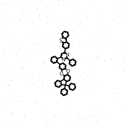 c1ccc(-c2nc(-c3ccc4c(c3)sc3ccccc34)cc(-c3ccccc3-c3ccc4c(c3)Oc3c(ccc5c3-c3ccccc3C5(c3ccccc3)c3ccccc3)O4)n2)cc1